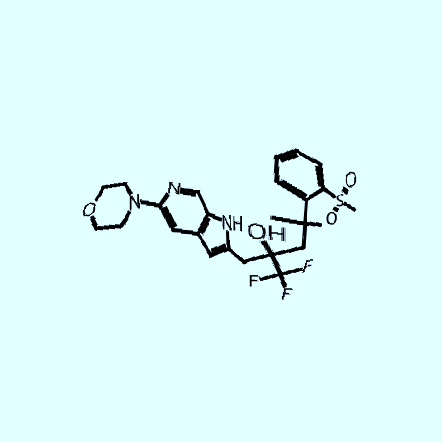 CC(C)(CC(O)(Cc1cc2cc(N3CCOCC3)ncc2[nH]1)C(F)(F)F)c1ccccc1S(C)(=O)=O